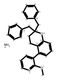 COc1ncccc1-c1cccc2c1CCC(Cc1ccccc1)(Cc1ccccc1)O2.N